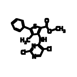 COC(=O)c1sc(-c2ccccc2)c(C)c1Nc1nc(Cl)ncc1Cl